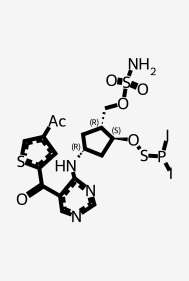 CC(=O)c1csc(C(=O)c2cncnc2N[C@@H]2C[C@H](COS(N)(=O)=O)[C@@H](OSP(I)I)C2)c1